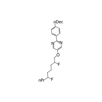 CCCCCCCCCCc1ccc(-c2ncc(OCC(F)CCCC(F)CCC)cn2)cc1